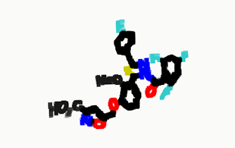 COc1c(OCc2cc(C(=O)O)no2)cccc1C1SC(c2ccc(F)cc2)=NN1C(=O)c1c(F)cc(F)cc1F